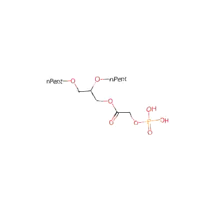 CCCCCOCC(COC(=O)COP(=O)(O)O)OCCCCC